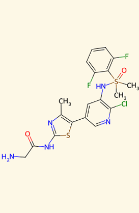 Cc1nc(NC(=O)CN)sc1-c1cnc(Cl)c(NS(C)(C)(=O)c2c(F)cccc2F)c1